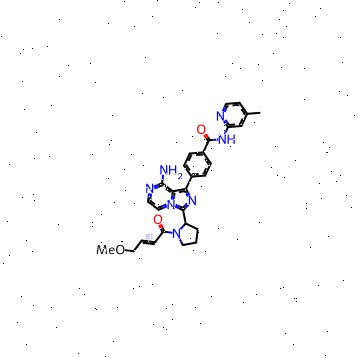 COC/C=C/C(=O)N1CCCC1c1nc(-c2ccc(C(=O)Nc3cc(C)ccn3)cc2)c2c(N)nccn12